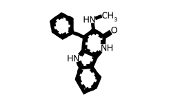 CNc1c(-c2ccccc2)c2[nH]c3ccccc3c2[nH]c1=O